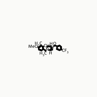 COc1ccc(C(C)N2C[C@@H]3C[C@H]2CN3C(=O)c2ccc(C(F)(F)F)cc2)c(C)c1C